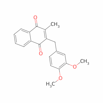 COc1ccc(CC2=C(C)C(=O)c3ccccc3C2=O)cc1OC